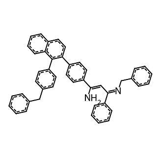 N/C(=C\C(=N/Cc1ccccc1)c1ccccc1)c1ccc(-c2ccc3ccccc3c2-c2ccc(Cc3ccccc3)cc2)cc1